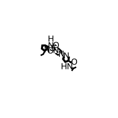 CCc1cccc(NS(=O)(=O)N2CCN(c3ccc(C(=O)NC(C)C)cn3)CC2)n1